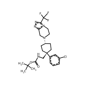 CC(C)(C)OC(=O)NC[C@]1(c2cccc(Cl)c2)CC[C@@H](N2CCn3c(nnc3C(F)(F)F)C2)CC1